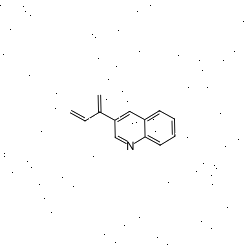 C=CC(=C)c1cnc2ccccc2c1